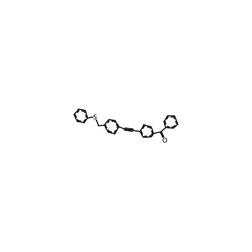 O=C(c1ccccc1)c1ccc(C#Cc2ccc(CSc3ccccc3)cc2)cc1